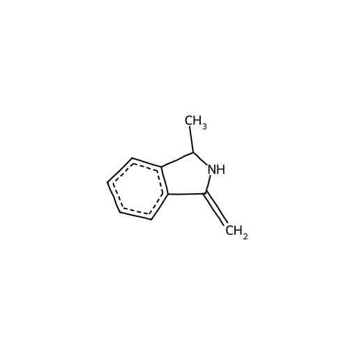 C=C1NC(C)c2ccccc21